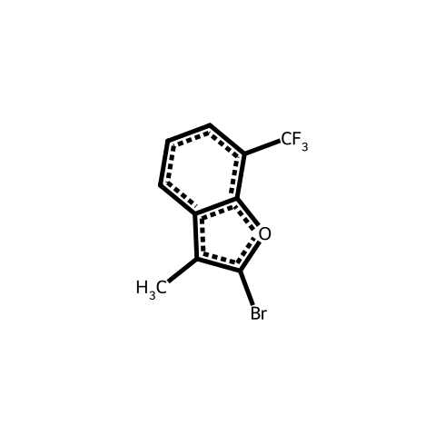 Cc1c(Br)oc2c(C(F)(F)F)cccc12